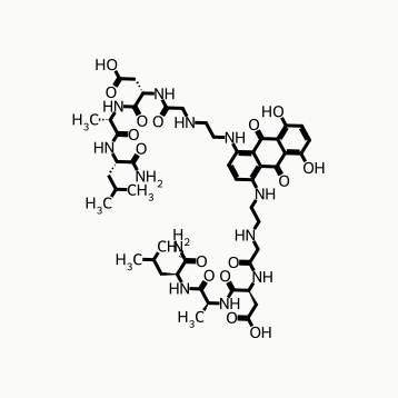 CC(C)C[C@H](NC(=O)[C@H](C)NC(=O)[C@H](CC(=O)O)NC(=O)CNCCNc1ccc(NCCNCC(=O)N[C@@H](CC(=O)O)C(=O)N[C@@H](C)C(=O)N[C@@H](CC(C)C)C(N)=O)c2c1C(=O)c1c(O)ccc(O)c1C2=O)C(N)=O